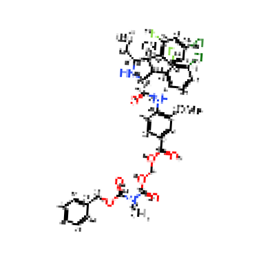 COc1cc(C(=O)OCOC(=O)N(C)C(=O)OCc2ccccc2)ccc1NC(=O)[C@@H]1N[C@@H](CC(C)(C)C)[C@](C#N)(c2ccc(Cl)cc2F)[C@H]1c1cccc(Cl)c1F